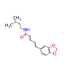 CC(C)CCNC(=O)C=CC=Cc1ccc2c(c1)OCO2